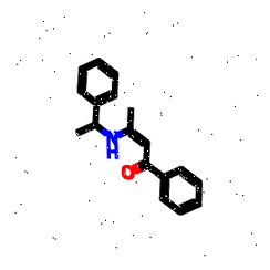 CC(=CC(=O)c1ccccc1)NC(C)c1ccccc1